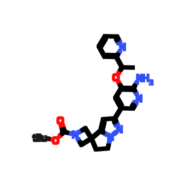 CC(Oc1cc(-c2cc3n(n2)CCC32CN(C(=O)OC(C)(C)C)C2)cnc1N)c1ccccn1